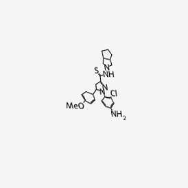 COC1=CCC(C2CC(C(=S)NN3CC4CCCC4C3)=NN2c2ccc(N)cc2Cl)C=C1